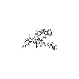 COc1ccc2[nH]c(C)c(CC(=O)N[C@@H](CCCCCC(=O)N(C)O)C(=O)NCCc3c(-c4ccccc4)[nH]c4ccccc34)c2c1